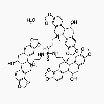 C[N+]1(CCNP(=S)(NCC[N+]2(C)Cc3c(ccc4c3OCO4)C3C2c2cc4c(cc2C[C@@H]3O)OCO4)NCC[N+]2(C)Cc3c(ccc4c3OCO4)C3C2c2cc4c(cc2C[C@@H]3O)OCO4)Cc2c(ccc3c2OCO3)C2C1c1cc3c(cc1C[C@H]2O)OCO3.O